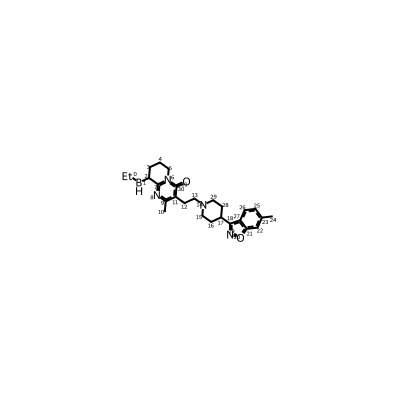 CCBC1CCCn2c1nc(C)c(CCN1CCC(c3noc4cc(C)ccc34)CC1)c2=O